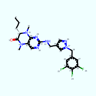 CCC[C@H]1C(=O)N(C)c2cnc(NCc3cnn(Cc4cc(F)c(F)c(F)c4)c3)nc2N1C